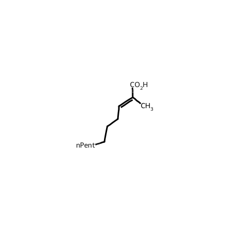 CCCCCCCC/C=C(\C)C(=O)O